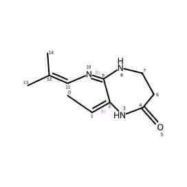 C/C=C1/NC(=O)CCN/C1=N/C=C(C)C